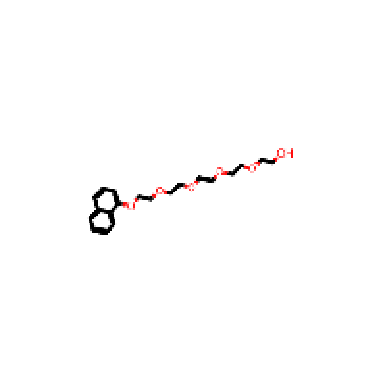 OCCOCCOCCOCCOCCOc1cccc2ccccc12